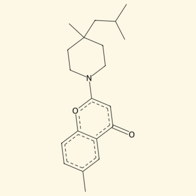 Cc1ccc2oc(N3CCC(C)(CC(C)C)CC3)cc(=O)c2c1